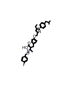 CCc1cc(COc2ccc(CC(C(=O)O)/C(C)=N/OCc3ccc(F)cc3)cc2)nn1-c1ccc(CC(C)C)cc1